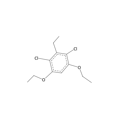 CCOc1cc(OCC)c(Cl)c(CC)c1Cl